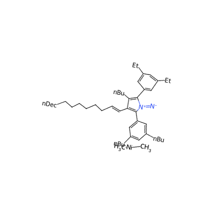 CCCCCCCCCCCCCCCCC=CC1=C(c2cc(CCCC)cc(CCCC)c2)[N+](=[N-])C(c2cc(CC)cc(CC)c2)=C1CCCC.[CH3][Ni][CH3]